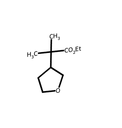 CCOC(=O)C(C)(C)C1CCOC1